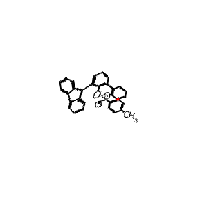 Cc1ccc(S(=O)(=O)Oc2c(-c3ccccc3)cccc2C2c3ccccc3-c3ccccc32)cc1